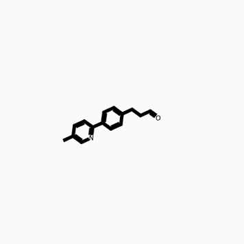 Cc1ccc(-c2ccc(CCC=O)cc2)nc1